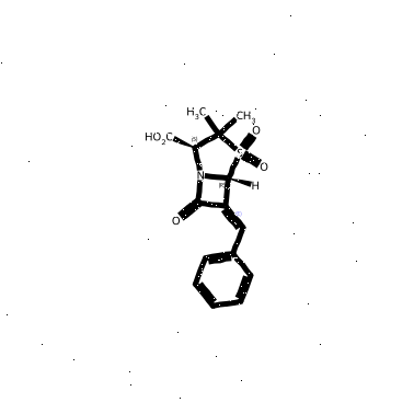 CC1(C)[C@H](C(=O)O)N2C(=O)/C(=C\c3ccccc3)[C@H]2S1(=O)=O